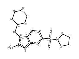 CC(C)(C)c1nc2cc(S(=O)(=O)N3CCCC3)ccc2n1CC1CCOCC1